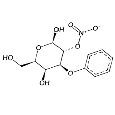 O=[N+]([O-])O[C@@H]1[C@@H](Oc2ccccc2)[C@@H](O)[C@@H](CO)O[C@H]1O